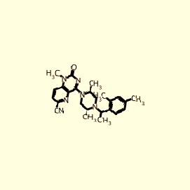 Cc1ccc(C(C)N2C[C@H](C)N(c3nc(=O)n(C)c4ccc(C#N)nc34)C[C@H]2C)c(C)c1